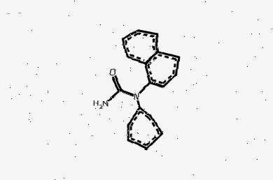 NC(=O)N(c1ccccc1)c1cccc2ccccc12